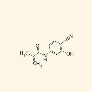 C=C(C)C(=O)Nc1ccc(C#N)c(O)c1